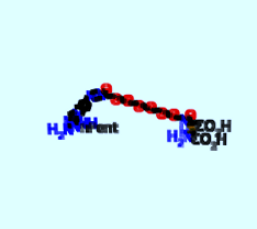 CCCCCNc1nc(N)nc2ccn(Cc3ccc(CN4CCN(C(=O)CCOCCOCCOCCOCCOCCOCCNC(=O)C(CC(=O)O)SC[C@H](N)C(=O)O)CC4)cc3C)c12